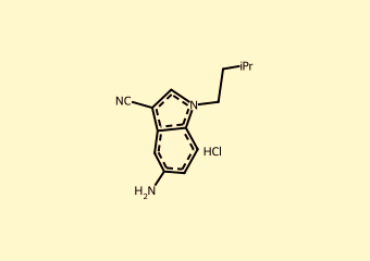 CC(C)CCn1cc(C#N)c2cc(N)ccc21.Cl